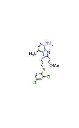 COCCc1nc2c(N)ncc(C)c2n1CCCSc1ccc(Cl)cc1Cl